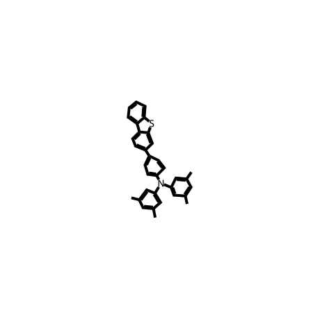 Cc1cc(C)cc(N(c2ccc(-c3ccc4c(c3)sc3ccccc34)cc2)c2cc(C)cc(C)c2)c1